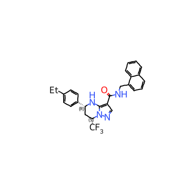 CCc1ccc([C@H]2C[C@@H](C(F)(F)F)n3ncc(C(=O)NCc4cccc5ccccc45)c3N2)cc1